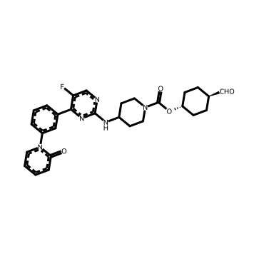 O=C[C@H]1CC[C@H](OC(=O)N2CCC(Nc3ncc(F)c(-c4cccc(-n5ccccc5=O)c4)n3)CC2)CC1